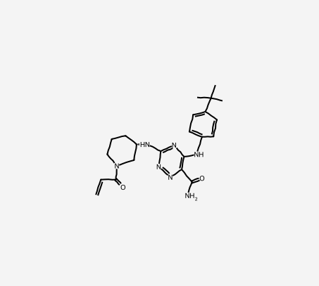 C=CC(=O)N1CCC[C@H](Nc2nnc(C(N)=O)c(Nc3ccc(C(C)(C)C)cc3)n2)C1